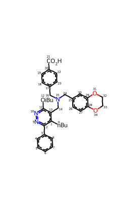 CCCCc1c(-c2ccccc2)nnc(OCC(C)C)c1CN(Cc1ccc(C(=O)O)cc1)Cc1ccc2c(c1)OCCO2